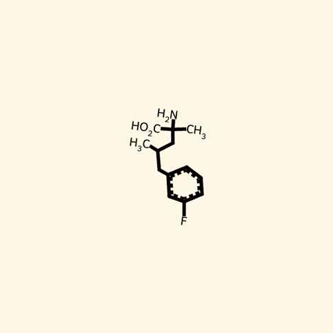 CC(Cc1cccc(F)c1)CC(C)(N)C(=O)O